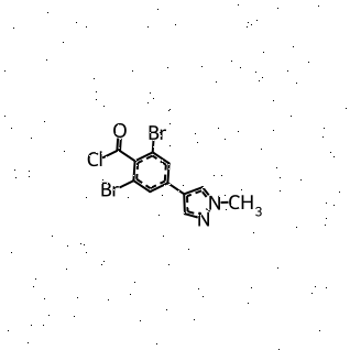 Cn1cc(-c2cc(Br)c(C(=O)Cl)c(Br)c2)cn1